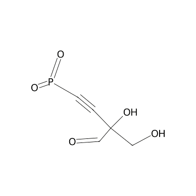 O=CC(O)(C#CP(=O)=O)CO